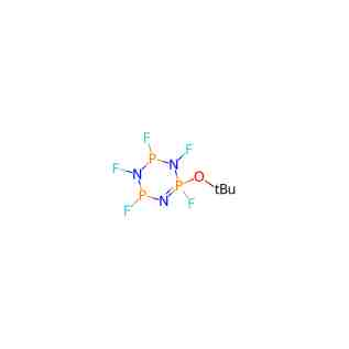 CC(C)(C)OP1(F)=NP(F)N(F)P(F)N1F